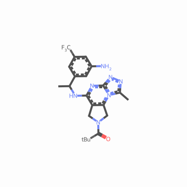 Cc1nnc2nc(NC(C)c3cc(N)cc(C(F)(F)F)c3)c3c(n12)CN(C(=O)C(C)(C)C)C3